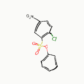 O=[N+]([O-])c1ccc(Cl)c(S(=O)(=O)Oc2ccccc2)c1